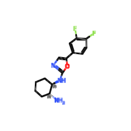 N[C@@H]1CCCC[C@H]1Nc1ncc(-c2ccc(F)c(F)c2)o1